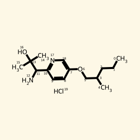 CCCC(C)COc1ccc(C(N)C(C)(C)O)nc1.Cl